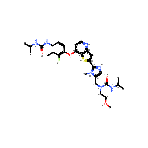 CC/C(F)=C(\C=C/CNC(=O)NC(C)C)Oc1ccnc2cc(-c3ncc(CN(CCOC)C(=O)NC(C)C)n3C)sc12